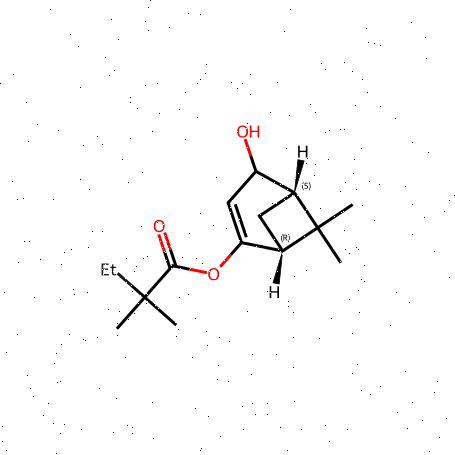 CCC(C)(C)C(=O)OC1=CC(O)[C@H]2C[C@@H]1C2(C)C